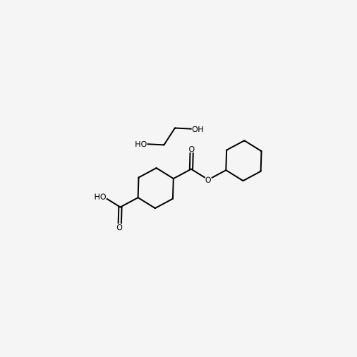 O=C(O)C1CCC(C(=O)OC2CCCCC2)CC1.OCCO